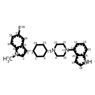 Cn1cc([C@H]2CC[C@@H](N3CCN(c4cccc5[nH]ccc45)CC3)CC2)c2cc(F)ccc21